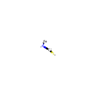 S=C=[N][Fe]